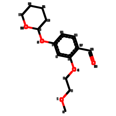 COCCOc1cc(OC2CCCCO2)ccc1C=O